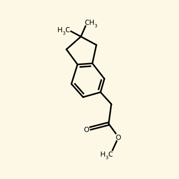 COC(=O)Cc1ccc2c(c1)CC(C)(C)C2